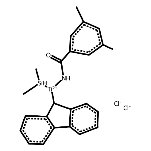 Cc1cc(C)cc(C(=O)[NH][Ti+2]([CH]2c3ccccc3-c3ccccc32)[SiH](C)C)c1.[Cl-].[Cl-]